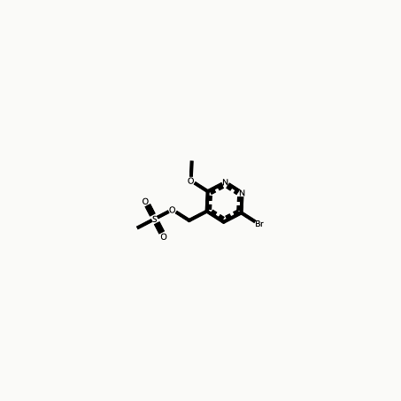 COc1nnc(Br)cc1COS(C)(=O)=O